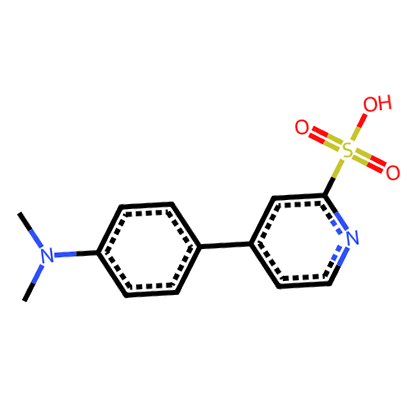 CN(C)c1ccc(-c2ccnc(S(=O)(=O)O)c2)cc1